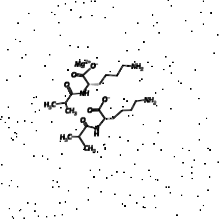 CC(C)C(=O)N[C@@H](CCCCN)C(=O)[O-].CC(C)C(=O)N[C@@H](CCCCN)C(=O)[O-].[Mg+2]